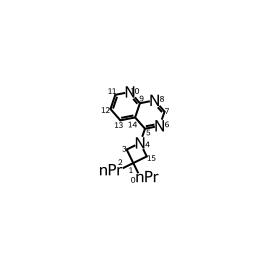 CCCC1(CCC)CN(c2ncnc3ncccc23)C1